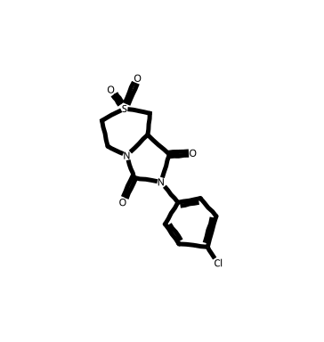 O=C1C2CS(=O)(=O)CCN2C(=O)N1c1ccc(Cl)cc1